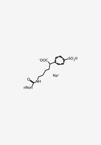 CCCCCCCCCC(=O)NCCCCC(C(=O)[O-])c1ccc(S(=O)(=O)O)cc1.[Na+]